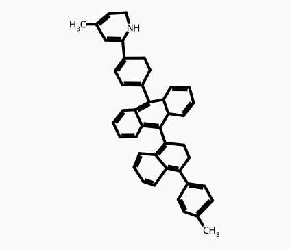 CC1=CCNC(C2=CC=C(C3=c4ccccc4=C(C4=c5ccccc5=C(c5ccc(C)cc5)CC4)C4C=CC=CC34)CC2)=C1